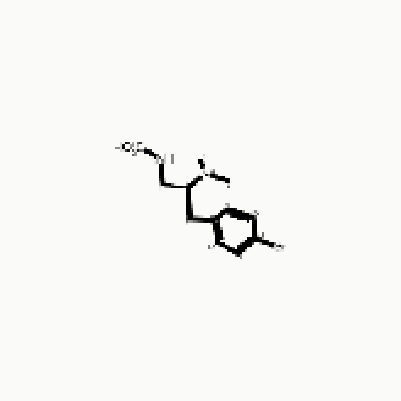 CN(C)[C@H](CNC(=O)O)Cc1ccc(Br)cc1